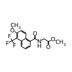 COC(=O)CNC(=O)c1cccc2c(C(F)(F)F)c(OC)ccc12